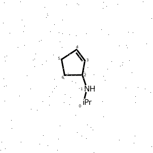 CC(C)NC1C=CCC1